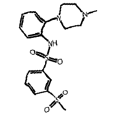 CN1CCN(c2ccccc2NS(=O)(=O)c2cccc(S(C)(=O)=O)c2)CC1